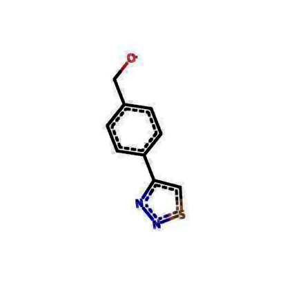 [O]Cc1ccc(-c2csnn2)cc1